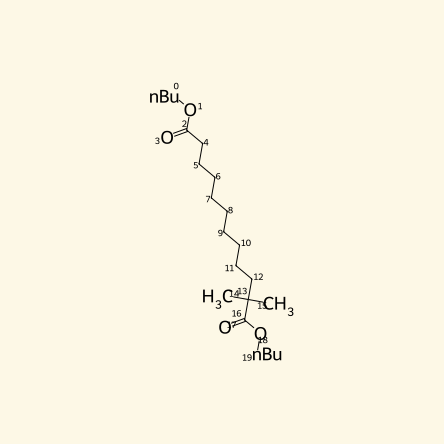 CCCCOC(=O)CCCCCCCCCC(C)(C)C(=O)OCCCC